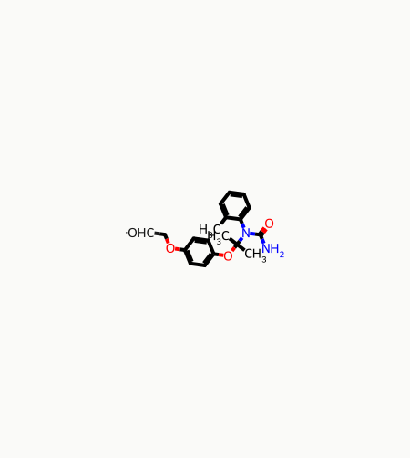 Cc1ccccc1N(C(N)=O)C(C)(C)Oc1ccc(OC[C]=O)cc1